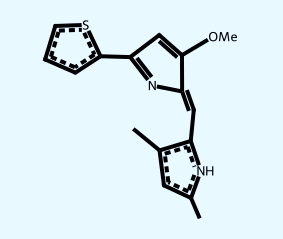 COC1=CC(c2cccs2)=NC1=Cc1[nH]c(C)cc1C